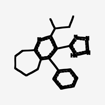 CCC(C)c1nc2c(c(-c3ccccc3)c1-c1nnn[nH]1)CCCCC2